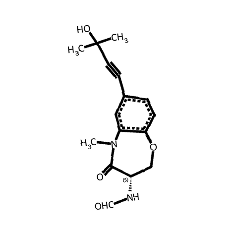 CN1C(=O)[C@@H](NC=O)COc2ccc(C#CC(C)(C)O)cc21